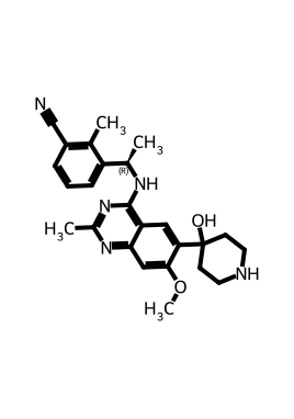 COc1cc2nc(C)nc(N[C@H](C)c3cccc(C#N)c3C)c2cc1C1(O)CCNCC1